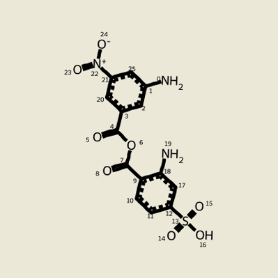 Nc1cc(C(=O)OC(=O)c2ccc(S(=O)(=O)O)cc2N)cc([N+](=O)[O-])c1